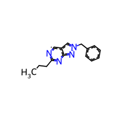 CCCc1n[c]c2cn(Cc3ccccc3)nc2n1